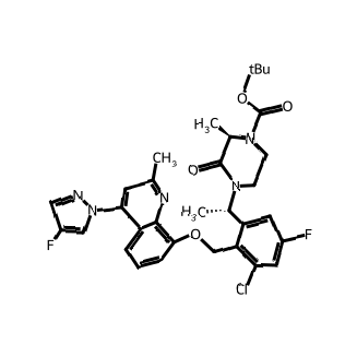 Cc1cc(-n2cc(F)cn2)c2cccc(OCc3c(Cl)cc(F)cc3[C@H](C)N3CCN(C(=O)OC(C)(C)C)[C@H](C)C3=O)c2n1